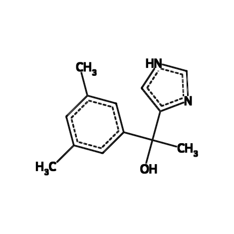 Cc1cc(C)cc(C(C)(O)c2c[nH]cn2)c1